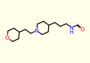 O=[C]NCCCC1CCN(CCC2CCOCC2)CC1